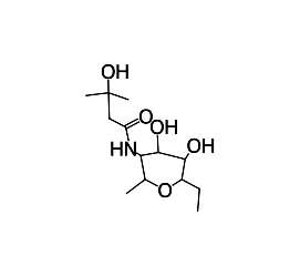 CCC1OC(C)C(NC(=O)CC(C)(C)O)C(O)C1O